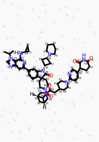 CC(C)n1cnc2cc(-c3ccc4c(c3)N([C@H]3C[C@@H](N5CCCCC5)C3)C(=O)C43CCN(C(=O)C4[C@@H]5C[C@H]4CN(C(=O)CC4CCN(c6ccc(C7CCC(=O)NC7=O)cn6)CC4)C5)CC3)nc(NC3CC3)c21